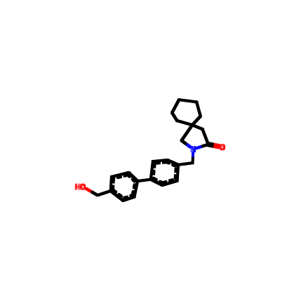 O=C1CC2(CCCCC2)CN1Cc1ccc(-c2ccc(CO)cc2)cc1